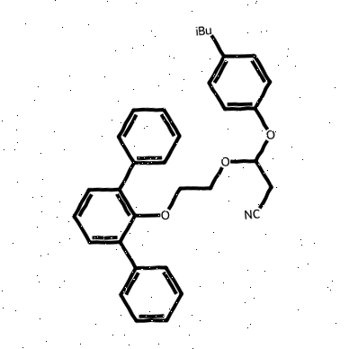 CCC(C)c1ccc(OC(CC#N)OCCOc2c(-c3ccccc3)cccc2-c2ccccc2)cc1